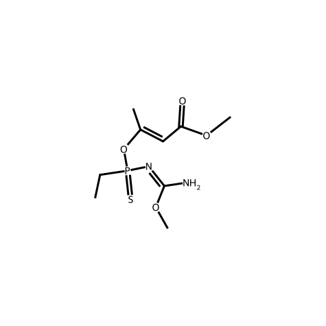 CCP(=S)(N=C(N)OC)OC(C)=CC(=O)OC